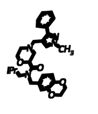 CC(C)CN(Cc1ccc2c(c1)OCCO2)C(=O)C1CN(Cc2cn(C)nc2-c2ccccc2)CCO1